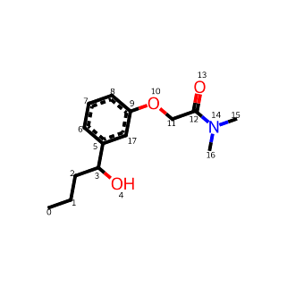 CCCC(O)c1cccc(OCC(=O)N(C)C)c1